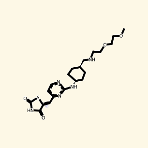 COCCOCCNC[C@H]1CC[C@H](Nc2nccc(/C=C3\SC(=O)NC3=O)n2)CC1